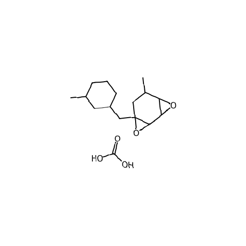 CC1CCCC(CC23CC(C)C4OC4C2O3)C1.O=C(O)O